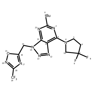 CC(C)(C)c1nc(N2CCC(F)(F)C2)c2nnn(Cc3nc(C(F)(F)F)no3)c2n1